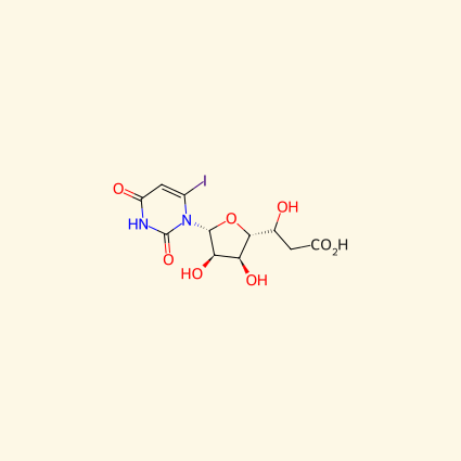 O=C(O)CC(O)[C@H]1O[C@@H](n2c(I)cc(=O)[nH]c2=O)[C@H](O)[C@@H]1O